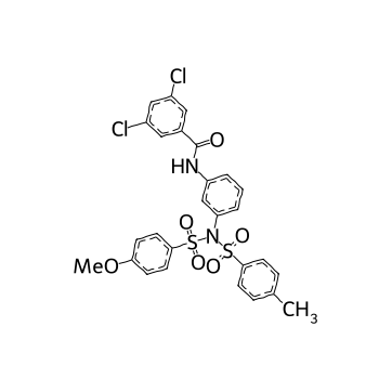 COc1ccc(S(=O)(=O)N(c2cccc(NC(=O)c3cc(Cl)cc(Cl)c3)c2)S(=O)(=O)c2ccc(C)cc2)cc1